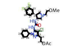 COCCN1C[C@@H](NC(=O)Nc2c(Cl)c(CCOC(C)=O)nn2C2C=CC=CC2)[C@H](c2ccc(F)c(F)c2)C1